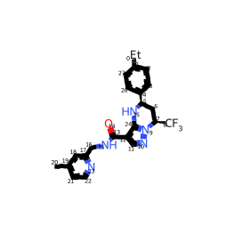 CCc1ccc([C@H]2C[C@@H](C(F)(F)F)n3ncc(C(=O)NCc4cc(C)ccn4)c3N2)cc1